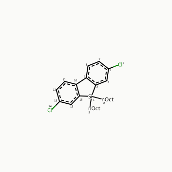 CCCCCCCC[Si]1(CCCCCCCC)c2cc(Cl)ccc2-c2ccc(Cl)cc21